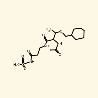 CC(OCC1CCCCC1)C(NC(=O)I)C(=O)NCCC(=O)NS(C)(=O)=O